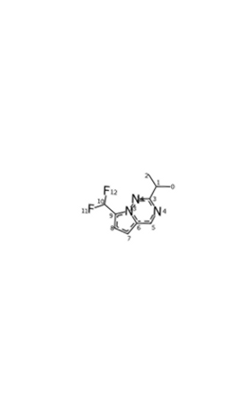 CC(C)c1ncc2ccc(C(F)F)n2n1